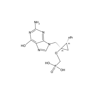 CCC[C@@H]1C[C@@]1(Cn1cnc2c(O)nc(N)nc21)OCP(=O)(O)O